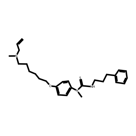 C=CCN(C)CCCCCCOc1ccc(N(C)C(=S)NCCCc2ccccc2)cc1